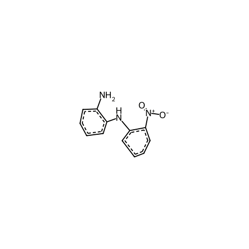 Nc1ccccc1Nc1ccccc1[N+](=O)[O-]